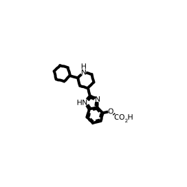 O=C(O)Oc1cccc2[nH]c(C3CCNC(C4CCCCC4)C3)nc12